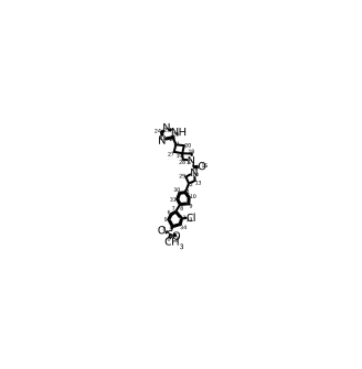 CS(=O)(=O)c1ccc(-c2ccc(C3CN(C(=O)N4CC5(CC(c6ncn[nH]6)C5)C4)C3)cc2)c(Cl)c1